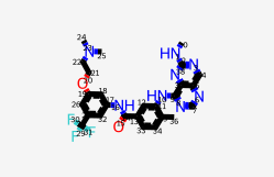 CNc1ncc2ncnc(Nc3cc(C(=O)Nc4cc(OCCN(C)C)cc(C(F)(F)F)c4)ccc3C)c2n1